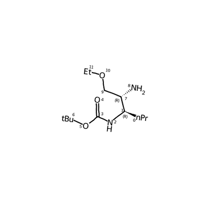 CCC[C@@H](NC(=O)OC(C)(C)C)[C@@H](N)COCC